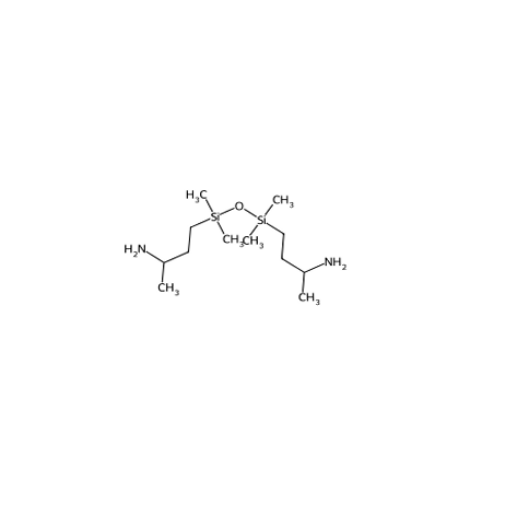 CC(N)CC[Si](C)(C)O[Si](C)(C)CCC(C)N